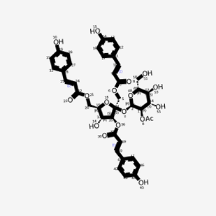 CC(=O)O[C@H]1[C@@H](O[C@]2(COC(=O)/C=C/c3ccc(O)cc3)O[C@H](COC(=O)/C=C/c3ccc(O)cc3)[C@@H](O)[C@@H]2OC(=O)/C=C/c2ccc(O)cc2)O[C@H](CO)[C@@H](O)[C@@H]1O